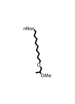 CCCCCCCCCCCCCCCCCCOC[C](C)OC